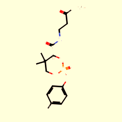 COC(=O)CCNC(=O)[C@@H]1O[P@@](=O)(Oc2ccc(C(F)(F)F)cc2)OCC1(C)C